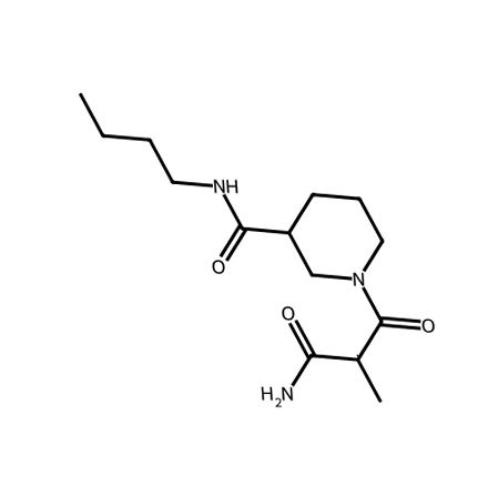 CCCCNC(=O)C1CCCN(C(=O)[C](C)C(N)=O)C1